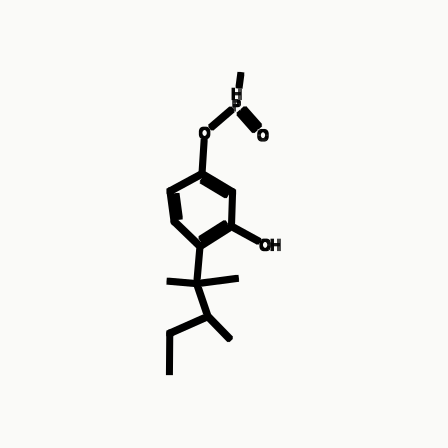 CCC(C)C(C)(C)c1ccc(O[PH](C)=O)cc1O